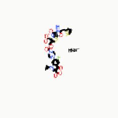 O=C(Cc1cccs1)N[C@@H]1C(=O)N2C(C(=O)[O-])=C(COC(=O)N3CCN(c4cc5c(cc4F)c(=O)c(C(=O)[O-])cn5C4CC4)CC3)CS[C@H]12.[Na+].[Na+]